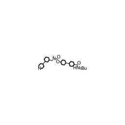 CCC(C)NC(=O)c1ccc(-c2ccc(OC(=O)N(C)Cc3cccc(-c4ccncc4)c3)cc2)cc1